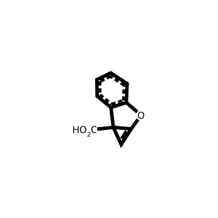 O=C(O)C12C=C1Oc1ccccc12